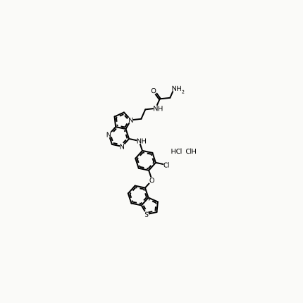 Cl.Cl.NCC(=O)NCCn1ccc2ncnc(Nc3ccc(Oc4cccc5sccc45)c(Cl)c3)c21